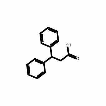 O=C(S)CC(c1ccccc1)c1ccccc1